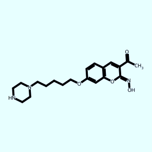 CC(=O)c1cc2ccc(OCCCCCN3CCNCC3)cc2oc1=NO